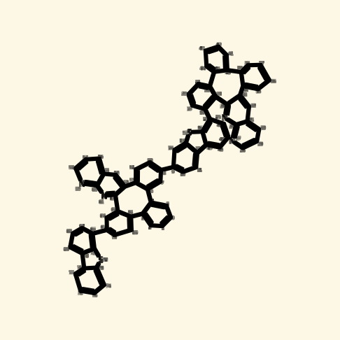 c1ccc2c(c1)-c1cc(-c3ccc4c(c3)sc3c(-c5cccc6c5-c5nc7ncccc7cc5-c5ccccc5-c5ccccc5-6)cccc34)ccc1-c1cc3cccnc3nc1-c1cc(-c3cccc4c3sc3ccccc34)ccc1-2